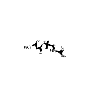 CCOC(=O)C(=O)CC(=O)SC(C)(C)CNC(=O)C(C)C